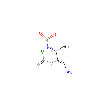 C=C(Cl)SC(=C\N)/C(CCCCCC)=N/[SH](=O)=O